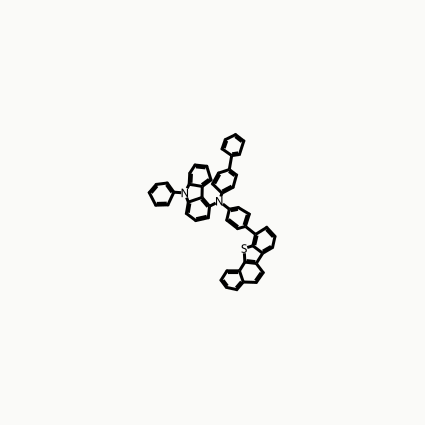 c1ccc(-c2ccc(N(c3ccc(-c4cccc5c4sc4c6ccccc6ccc54)cc3)c3cccc4c3c3ccccc3n4-c3ccccc3)cc2)cc1